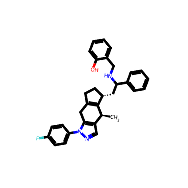 C[C@@H]1C2=C(CC[C@@H]2CC(NCc2ccccc2O)c2ccccc2)Cc2c1cnn2-c1ccc(F)cc1